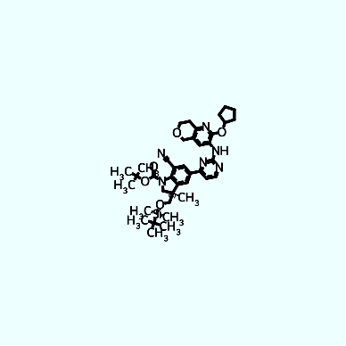 CC(C)(C)OC(=O)N1C[C@](C)(CO[Si](C)(C)C(C)(C)C)c2cc(-c3ccnc(Nc4cc5c(nc4OC4CCCC4)CCOC5)n3)cc(C#N)c21